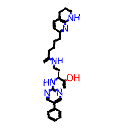 C=C(CCCCc1ccc2c(n1)NCCC2)NCC[C@H](Nc1ncc(-c2ccccc2)cn1)C(=C)O